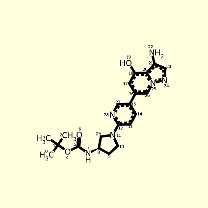 CC(C)(C)OC(=O)N[C@@H]1CCN(c2ccc(-c3cc(O)c4c(N)cnn4c3)cn2)C1